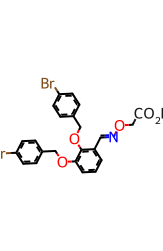 O=C(O)CON=Cc1cccc(OCc2ccc(Br)cc2)c1OCc1ccc(Br)cc1